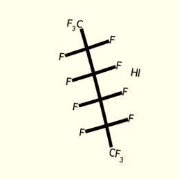 FC(F)(F)C(F)(F)C(F)(F)C(F)(F)C(F)(F)C(F)(F)F.I